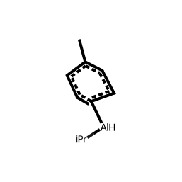 Cc1cc[c]([AlH][CH](C)C)cc1